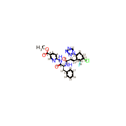 COC(=O)c1ccc(NC(=O)[C@H](Cc2ccccc2)NC(=O)/C=C/c2c(-n3cnnn3)ccc(Cl)c2F)nc1